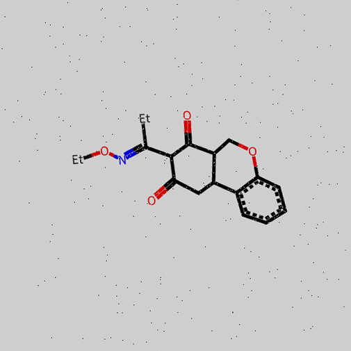 CCON=C(CC)C1C(=O)CC2c3ccccc3OCC2C1=O